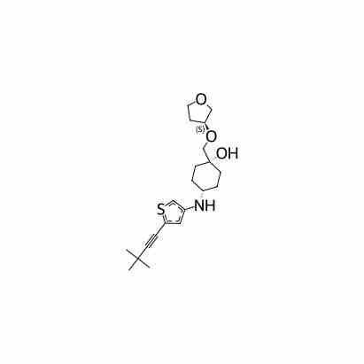 CC(C)(C)C#Cc1cc(N[C@H]2CC[C@](O)(CO[C@H]3CCOC3)CC2)cs1